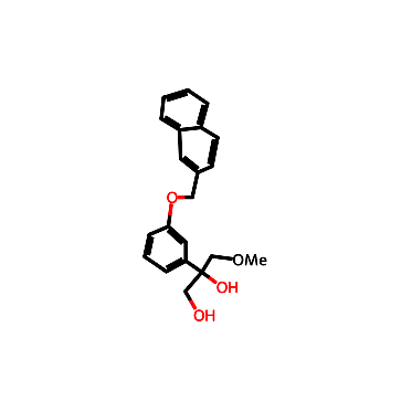 COCC(O)(CO)c1cccc(OCc2ccc3ccccc3c2)c1